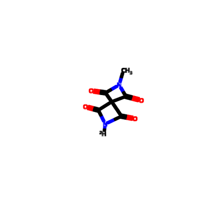 [2H]N1C(=O)C2(C1=O)C(=O)N(C)C2=O